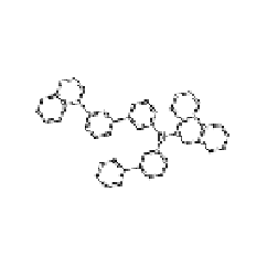 c1ccc(-c2cccc(N(c3cccc(-c4cccc(-c5cccc6ccccc56)c4)c3)c3cc4ccccc4c4ccccc34)c2)cc1